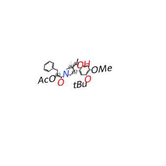 COc1ccc([C@@H]2CN(C(=O)[C@H](Cc3ccccc3)OC(C)=O)C[C@@]2(C)[C@@H](C)O)cc1OC(C)(C)C